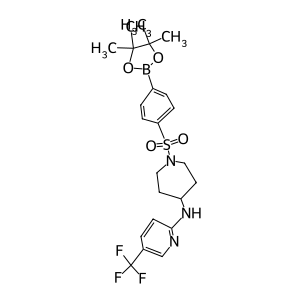 CC1(C)OB(c2ccc(S(=O)(=O)N3CCC(Nc4ccc(C(F)(F)F)cn4)CC3)cc2)OC1(C)C